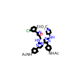 CC(=O)Nc1ccc(-c2ccnc(NCc3cc(-c4cccc(Cl)c4)no3)n2)cc1.CCOC(=O)N1CCC(Nc2nccc(-c3ccc(NC(C)=O)cc3)n2)CC1